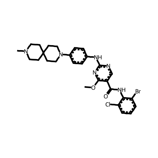 COc1nc(Nc2ccc(N3CCC4(CCN(C)CC4)CC3)cc2)ncc1C(=O)Nc1c(Cl)cccc1Br